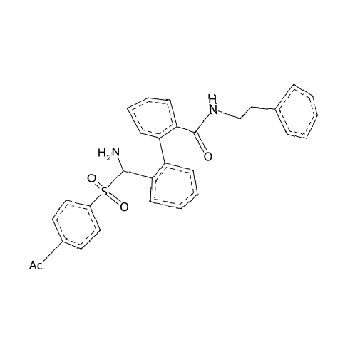 CC(=O)c1ccc(S(=O)(=O)C(N)c2ccccc2-c2ccccc2C(=O)NCCc2ccccc2)cc1